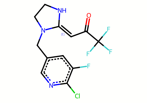 O=C(/C=C1\NCCN1Cc1cnc(Cl)c(F)c1)C(F)(F)F